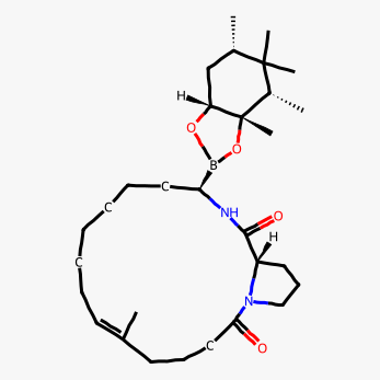 C/C1=C\CCCCCC[C@@H](B2O[C@@H]3C[C@H](C)C(C)(C)[C@H](C)[C@]3(C)O2)NC(=O)[C@@H]2CCCN2C(=O)CCC1